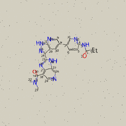 CCC(=O)Nc1ccc(-c2cnc3[nH]nc(-c4nc5c(C(=O)N(C)C)cncc5[nH]4)c3c2)cn1